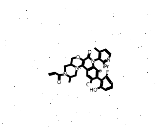 C=CC(=O)N1CC2COc3c(c4cc(Cl)c(-c5c(O)cccc5F)c(F)c4n(-c4c(C)ccnc4C(C)C)c3=O)N2CC1C